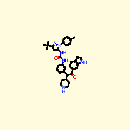 Cc1ccc(-n2nc(C(C)(C)C)cc2NC(=O)Nc2cccc(C(C(=O)c3ccc4cc[nH]c4c3)C3CCNCC3)c2)cc1